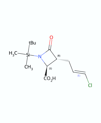 CC(C)(C)[Si](C)(C)N1C(=O)[C@H](C/C=C/Cl)[C@H]1C(=O)O